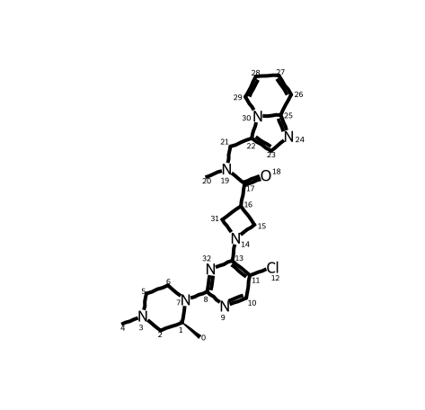 C[C@H]1CN(C)CCN1c1ncc(Cl)c(N2CC(C(=O)N(C)Cc3cnc4ccccn34)C2)n1